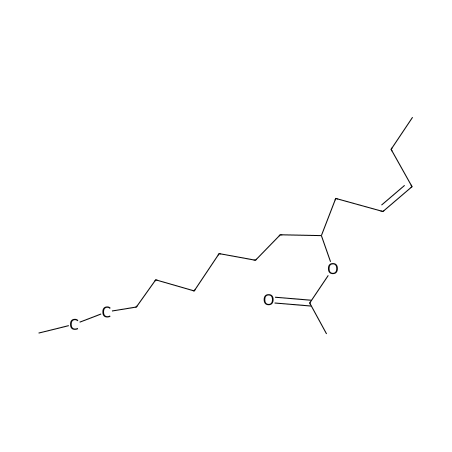 CC/C=C\CC(CCCCCCCCC)OC(C)=O